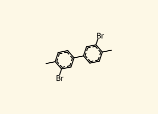 Cc1ccc(-c2ccc(C)c(Br)c2)cc1Br